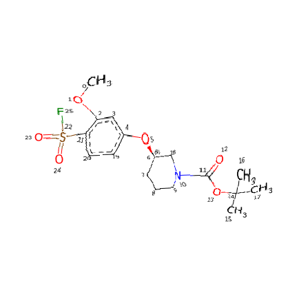 COc1cc(O[C@@H]2CCCN(C(=O)OC(C)(C)C)C2)ccc1S(=O)(=O)F